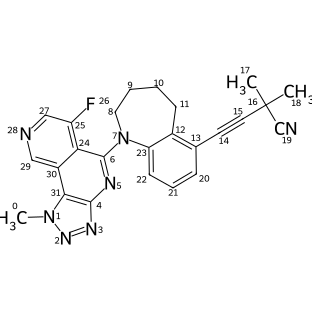 Cn1nnc2nc(N3CCCCc4c(C#CC(C)(C)C#N)cccc43)c3c(F)cncc3c21